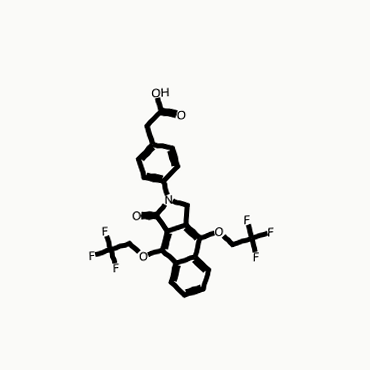 O=C(O)Cc1ccc(N2Cc3c(c(OCC(F)(F)F)c4ccccc4c3OCC(F)(F)F)C2=O)cc1